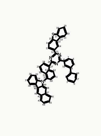 c1ccc(-c2cccc(-c3nc(-c4ccc5sc6ccccc6c5c4)nc(-c4cccc5c(-n6c7ccccc7c7cc8ccccc8cc76)cccc45)n3)c2)cc1